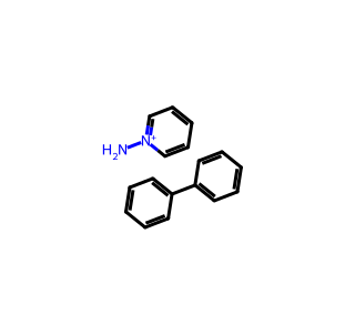 N[n+]1ccccc1.c1ccc(-c2ccccc2)cc1